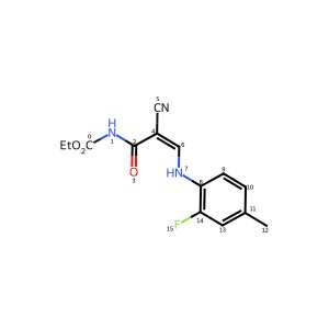 CCOC(=O)NC(=O)C(C#N)=CNc1ccc(C)cc1F